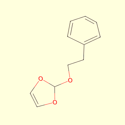 C1=COC(OCCc2ccccc2)O1